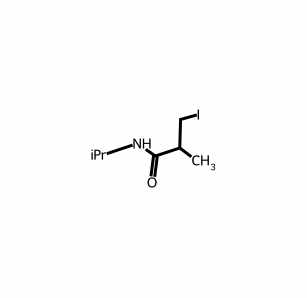 CC(C)NC(=O)C(C)CI